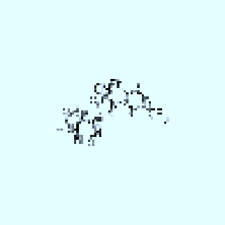 CCc1ccc(C(F)(F)F)cc1-n1cc(-c2ncnn3cccc23)cc1C#N